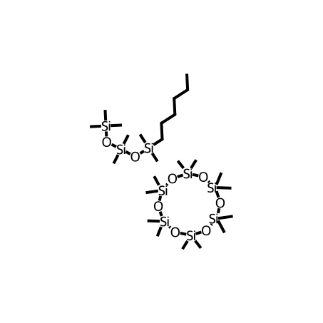 CCCCCC[Si](C)(C)O[Si](C)(C)O[Si](C)(C)C.C[Si]1(C)O[Si](C)(C)O[Si](C)(C)O[Si](C)(C)O[Si](C)(C)O[Si](C)(C)O1